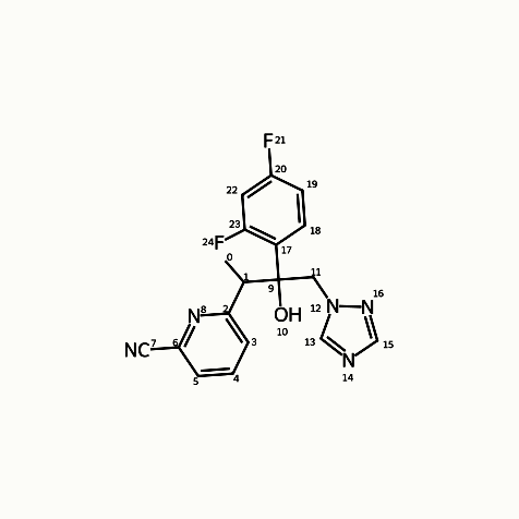 CC(c1cccc(C#N)n1)C(O)(Cn1cncn1)c1ccc(F)cc1F